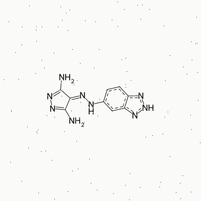 NC1=NN=C(N)C1=NNc1ccc2n[nH]nc2c1